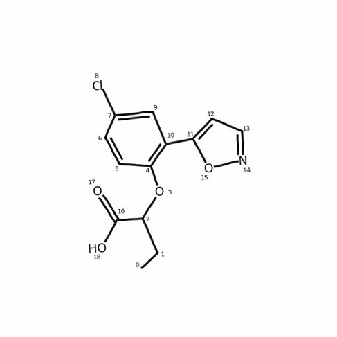 CCC(Oc1ccc(Cl)cc1-c1ccno1)C(=O)O